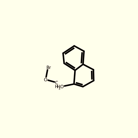 COBr.Oc1cccc2ccccc12